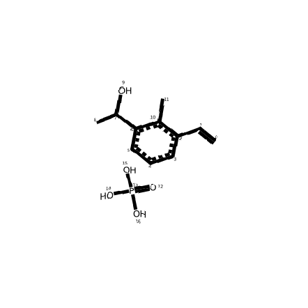 C=Cc1cccc(C(C)O)c1C.O=P(O)(O)O